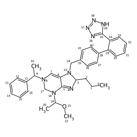 CCCC1N=C2C(=CN(C(C)c3ccccc3)CN2C(C)OC)N1Cc1ccc(-c2ccccc2-c2nnn[nH]2)cc1